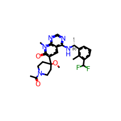 COC1(c2cc3c(N[C@H](C)c4cccc(C(F)F)c4C)ncnc3n(C)c2=O)CCN(C(C)=O)CC1